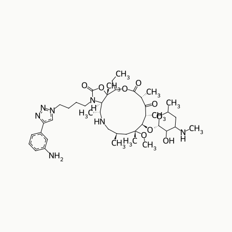 CCC1OC(=O)[C@H](C)C(=O)[C@H](C)[C@@H](O[C@@H]2OC(C)CC(NC)C2O)[C@](C)(OC)C[C@@H](C)CN[C@H](C)[C@H]2N(CCCCn3cc(-c4cccc(N)c4)nn3)C(=O)O[C@]12C